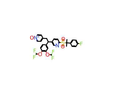 CC(C)(c1ccc(F)cc1)S(=O)(=O)c1ccc(C(Cc2cc[n+]([O-])cc2)c2ccc(OC(F)F)c(OC(F)F)c2)cn1